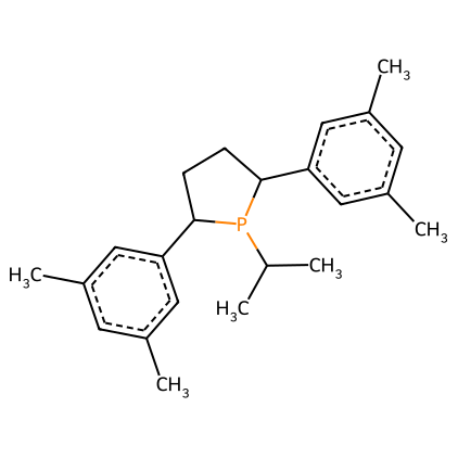 Cc1cc(C)cc(C2CCC(c3cc(C)cc(C)c3)P2C(C)C)c1